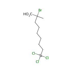 CC(Br)(CCCCCC[Si](Cl)(Cl)Cl)C(=O)O